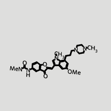 CNC(=O)Nc1ccc2c(c1)C(=O)C(=Cc1cn(C)c3c(CCCN4CCN(C)CC4)cc(OC)cc13)O2